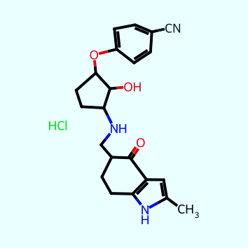 Cc1cc2c([nH]1)CCC(CNC1CCC(Oc3ccc(C#N)cc3)C1O)C2=O.Cl